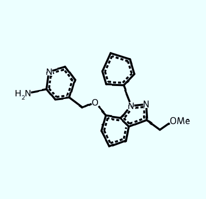 COCc1nn(-c2ccccc2)c2c(OCc3ccnc(N)c3)cccc12